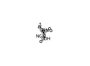 N#CCC1CN(c2nc(OC[C@@H]3CCCN3CC3CC3)nc3c2CCN(c2cccc4ccccc24)C3)CCN1C(O)OCc1ccccc1